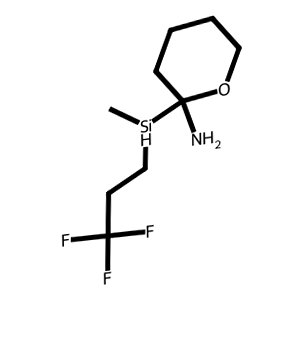 C[SiH](CCC(F)(F)F)C1(N)CCCCO1